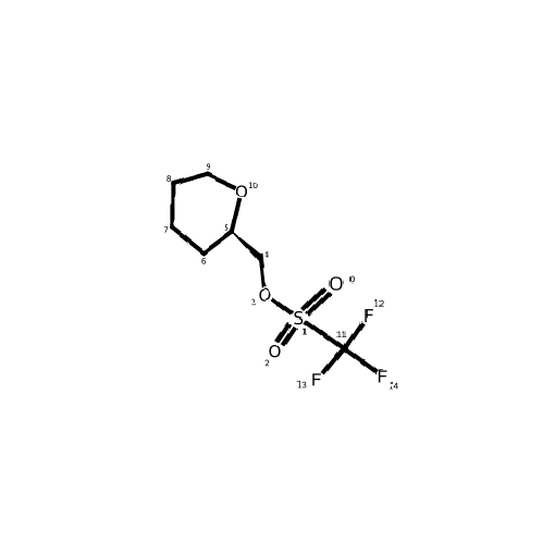 O=S(=O)(OC[C@H]1CCCCO1)C(F)(F)F